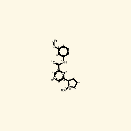 CC(C)Oc1cccc(NC(=O)c2cncc(C3CCCN3C(C)(C)C)n2)c1